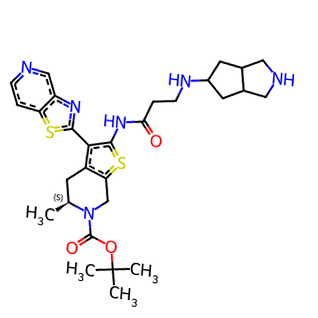 C[C@H]1Cc2c(sc(NC(=O)CCNC3CC4CNCC4C3)c2-c2nc3cnccc3s2)CN1C(=O)OC(C)(C)C